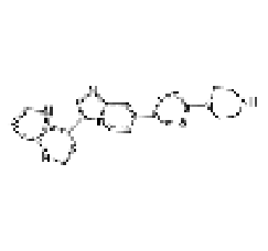 c1cnc2c(-c3cnc4cc(-c5ccc(N6CCNCC6)cc5)ccn34)ccnc2c1